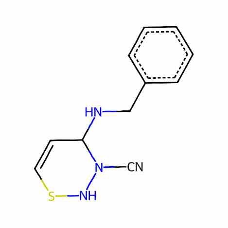 N#CN1NSC=CC1NCc1ccccc1